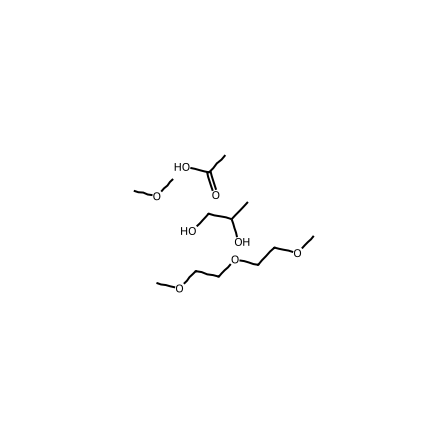 CC(=O)O.CC(O)CO.COC.COCCOCCOC